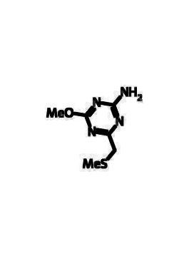 COc1nc(N)nc(CSC)n1